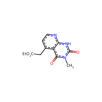 CCOC(=O)Cc1ccnc2[nH]c(=O)n(C)c(=O)c12